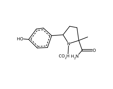 CC1(C(N)=O)CCC(c2ccc(O)cc2)N1C(=O)O